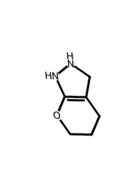 C1COC2=C(C1)CNN2